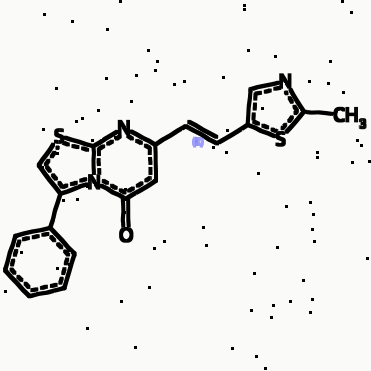 Cc1ncc(/C=C/c2cc(=O)n3c(-c4ccccc4)csc3n2)s1